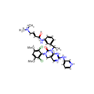 COc1cc(OC)c(Cl)c(N2Cc3cnc(Nc4cccnc4)nc3N(C(C)c3cccc(NC(=O)/C=C/CN(C)C)c3)C2=O)c1Cl